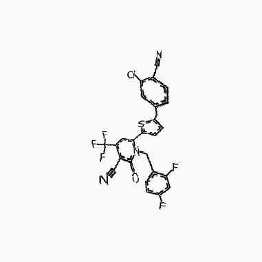 N#Cc1ccc(-c2ccc(-c3cc(C(F)(F)F)c(C#N)c(=O)n3Cc3ccc(F)cc3F)s2)cc1Cl